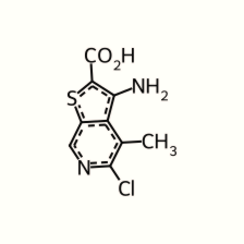 Cc1c(Cl)ncc2sc(C(=O)O)c(N)c12